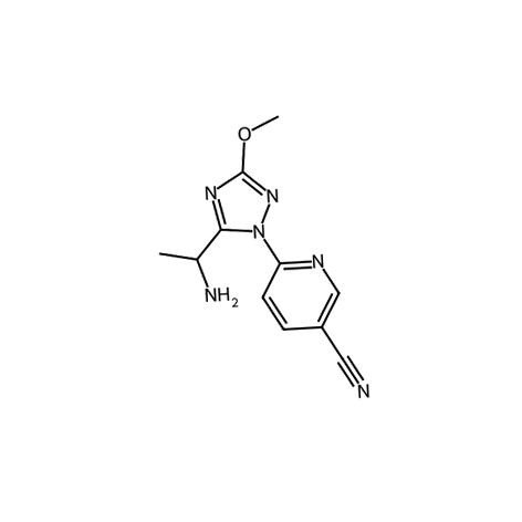 COc1nc(C(C)N)n(-c2ccc(C#N)cn2)n1